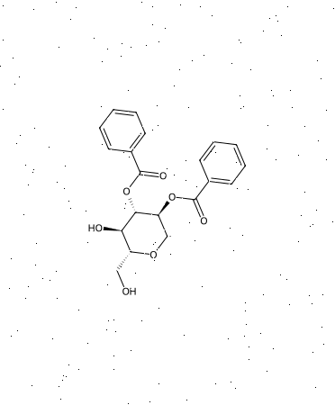 O=C(O[C@H]1[C@H](O)[C@@H](CO)O[CH][C@@H]1OC(=O)c1ccccc1)c1ccccc1